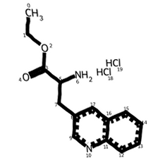 CCOC(=O)C(N)Cc1cnc2ccccc2c1.Cl.Cl